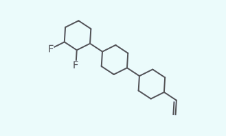 C=CC1CCC(C2CCC(C3CCCC(F)C3F)CC2)CC1